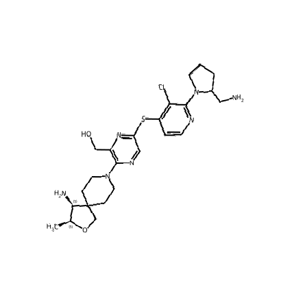 C[C@@H]1OCC2(CCN(c3ncc(Sc4ccnc(N5CCCC5CN)c4Cl)nc3CO)CC2)[C@@H]1N